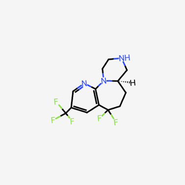 FC(F)(F)c1cnc2c(c1)C(F)(F)CC[C@@H]1CNCCN21